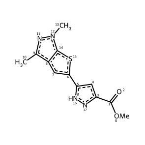 COC(=O)c1cc(-c2cc3c(C)nn(C)c3s2)[nH]n1